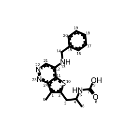 Cc1c(CC(C)NC(=O)O)sc2c(NCc3ccccc3)cnnc12